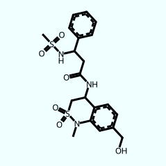 CN1c2cc(CO)ccc2C(NC(=O)CC(NS(C)(=O)=O)c2ccccc2)CS1(=O)=O